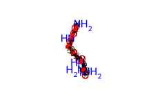 CC(C)(CCOCNCCOCCOCCN)SSCOCCCCOC(=O)NCC#CC(=C/N)/C(N)=N\C=O